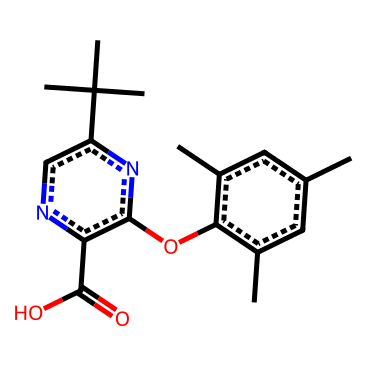 Cc1cc(C)c(Oc2nc(C(C)(C)C)cnc2C(=O)O)c(C)c1